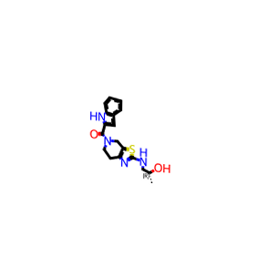 C[C@@H](O)CNc1nc2c(s1)CN(C(=O)c1cc3ccccc3[nH]1)CC2